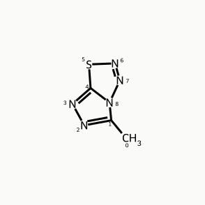 Cc1nnc2snnn12